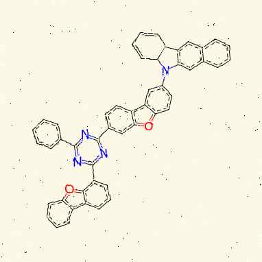 C1=CC2c3cc4ccccc4cc3N(c3ccc4oc5cc(-c6nc(-c7ccccc7)nc(-c7cccc8c7oc7ccccc78)n6)ccc5c4c3)C2C=C1